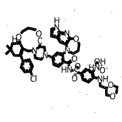 CC1(C)CC(c2ccc(Cl)cc2)=C2CN3CCN(c4ccc(C(=O)NS(=O)(=O)c5ccc(NCC6COCCO6)c([NH+]([O-])O)c5)c(N5CCCOc6nc7[nH]ccc7cc65)c4)CC3COCCCO[C@@H]2C1